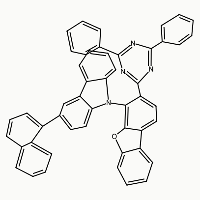 c1ccc(-c2nc(-c3ccccc3)nc(-c3ccc4c(oc5ccccc54)c3-n3c4ccccc4c4cc(-c5cccc6ccccc56)ccc43)n2)cc1